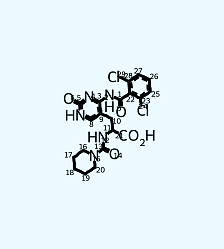 O=C(Nc1nc(=O)[nH]cc1CC(NC(=O)N1CCCCC1)C(=O)O)c1c(Cl)cccc1Cl